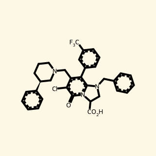 O=C(O)C1CN(Cc2ccccc2)c2c(-c3cccc(C(F)(F)F)c3)c(CN3CCC[C@H](c4ccccc4)C3)c(Cl)c(=O)n21